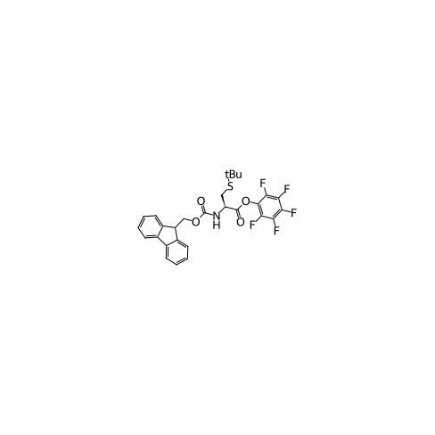 CC(C)(C)SC[C@H](NC(=O)OCC1c2ccccc2-c2ccccc21)C(=O)Oc1c(F)c(F)c(F)c(F)c1F